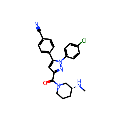 CN[C@@H]1CCCN(C(=O)c2cc(-c3ccc(C#N)cc3)n(-c3ccc(Cl)cc3)n2)C1